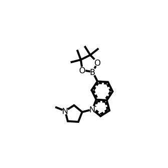 CN1CCC(n2ccc3ccc(B4OC(C)(C)C(C)(C)O4)cc32)C1